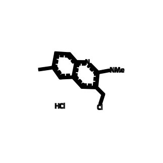 CNc1nc2ccc(C)cc2cc1CCl.Cl